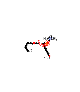 CC/C=C\C/C=C\C/C=C\CCCCCCCC(=O)OC[C@H](COP(=O)([O-])OCC[N+](C)(C)C)OC(=O)CCCCCCC/C=C\CCCC